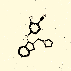 N#Cc1ccc(O[C@H]2c3ccccc3C[C@@H]2CN2CCCC2)cc1Cl